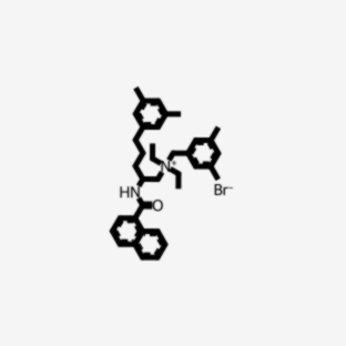 CC[N+](CC)(Cc1cc(C)cc(C)c1)CC(CCCc1cc(C)cc(C)c1)NC(=O)c1cccc2ccccc12.[Br-]